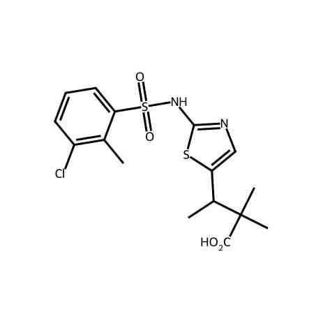 Cc1c(Cl)cccc1S(=O)(=O)Nc1ncc(C(C)C(C)(C)C(=O)O)s1